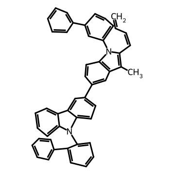 C=C/C=C\c1c(C)c2cc(-c3ccc4c(c3)c3ccccc3n4-c3ccccc3-c3ccccc3)ccc2n1-c1cccc(-c2ccccc2)c1